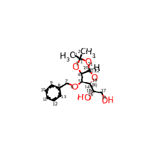 CC1(C)OC2C(OCc3ccccc3)[C@@H]([C@@H](O)CO)O[C@@H]2O1